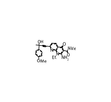 CCn1c(N)c(C(=O)NC)c(=O)c2ccc(C#CC(C)(O)c3ccc(OC)cc3)nc21